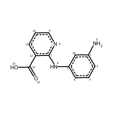 Nc1cccc(Nc2ncccc2C(=O)O)c1